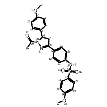 COc1ccc(C2CC(c3ccc(NS(=O)(=O)c4ccc(OC)cc4)cc3)=NN2C(C)=O)cc1